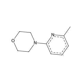 Cc1c[c]cc(N2CCOCC2)n1